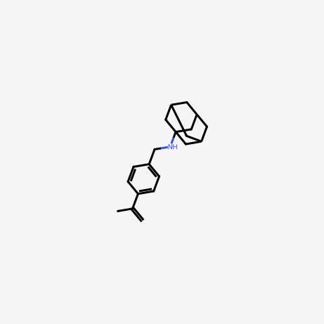 C=C(C)c1ccc(CNC23CC4CC(CC(C4)C2)C3)cc1